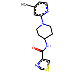 N#Cc1ccnc(N2CCC(NC(=O)c3cscn3)CC2)c1